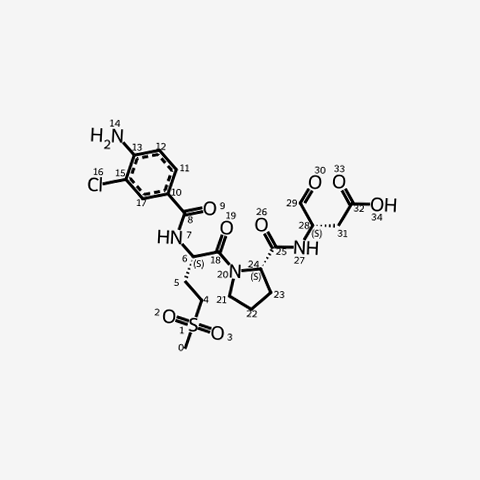 CS(=O)(=O)CC[C@H](NC(=O)c1ccc(N)c(Cl)c1)C(=O)N1CCC[C@H]1C(=O)N[C@H](C=O)CC(=O)O